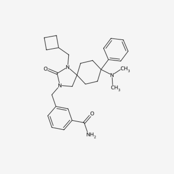 CN(C)C1(c2ccccc2)CCC2(CC1)CN(Cc1cccc(C(N)=O)c1)C(=O)N2CC1CCC1